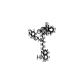 Cc1ccc(OCCN(CCCCc2ccc3c(n2)NCCC3)CC[C@H](Nc2nn(C)c3ccccc23)C(=O)O)cn1